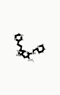 Cc1cc2[nH]nc(/C=C/c3cnccn3)c2cc1NCc1ccccn1